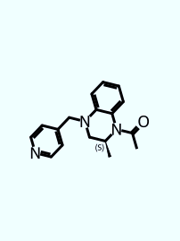 CC(=O)N1c2ccccc2N(Cc2ccncc2)C[C@@H]1C